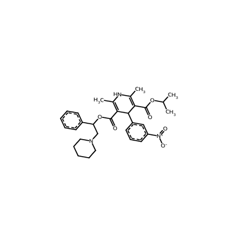 CC1=C(C(=O)OC(C)C)C(c2cccc([N+](=O)[O-])c2)C(C(=O)OC(CN2CCCCC2)c2ccccc2)=C(C)N1